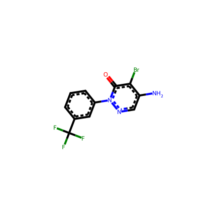 Nc1cnn(-c2cccc(C(F)(F)F)c2)c(=O)c1Br